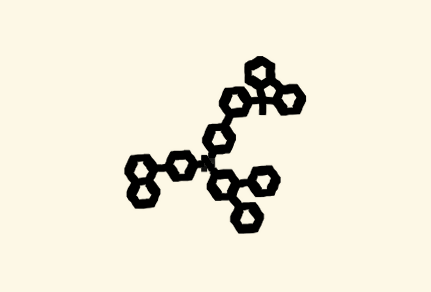 CC1(c2cccc(-c3ccc(N(c4ccc(-c5cccc6ccccc56)cc4)c4ccc(-c5ccccc5)c(-c5ccccc5)c4)cc3)c2)c2ccccc2-c2ccccc21